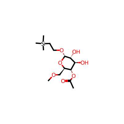 COC[C@H]1O[C@H](OCC[Si](C)(C)C)[C@H](O)[C@@H](O)[C@@H]1OC(C)=O